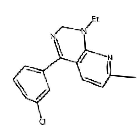 CCN1CN=C(c2cccc(Cl)c2)c2ccc(C)nc21